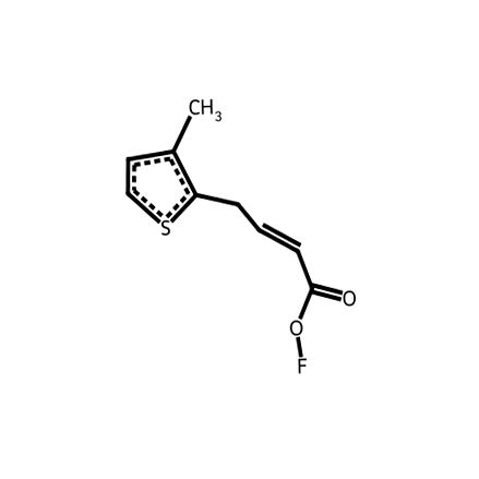 Cc1ccsc1CC=CC(=O)OF